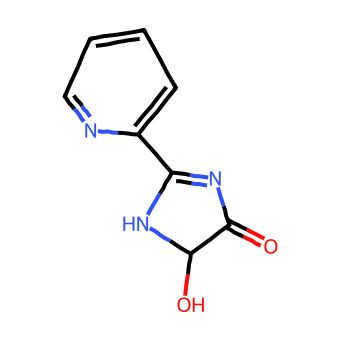 O=C1N=C(c2ccccn2)NC1O